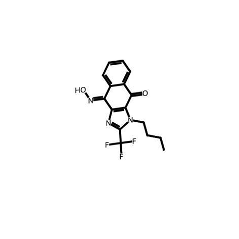 CCCCn1c(C(F)(F)F)nc2c1C(=O)c1ccccc1C2=NO